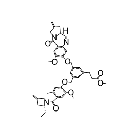 C=C1C[C@@H](CC)N(C(=O)c2cc(OC)c(OCc3cc(CCC(=O)OC)cc(COc4cc5c(cc4OC)C(=O)N4CC(=C)C[C@H]4C=N5)c3)cc2C)C1